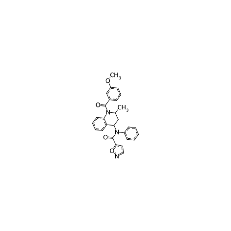 COc1cccc(C(=O)N2c3ccccc3C(N(C(=O)c3ccno3)c3ccccc3)CC2C)c1